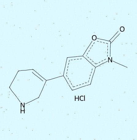 Cl.Cn1c(=O)oc2cc(C3=CCCNC3)ccc21